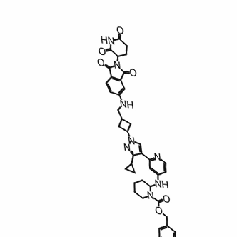 O=C1CCC(N2C(=O)c3ccc(NCC4CC(n5cc(-c6cc(NC7CCCCN7C(=O)OCc7ccccc7)ccn6)c(C6CC6)n5)C4)cc3C2=O)C(=O)N1